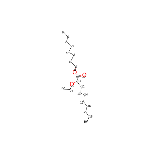 CCCCCCCCOC(=O)C(CCCCCCCC)OCC